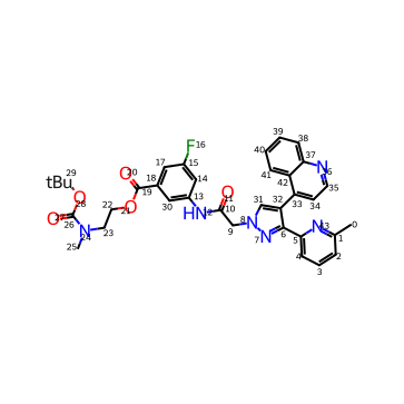 Cc1cccc(-c2nn(CC(=O)Nc3cc(F)cc(C(=O)OCCN(C)C(=O)OC(C)(C)C)c3)cc2-c2ccnc3ccccc23)n1